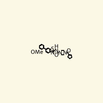 COc1ccccc1-c1ccc2nc(NC(=O)N3CCN(C(=O)C4=CCCC4)CC3)sc2c1